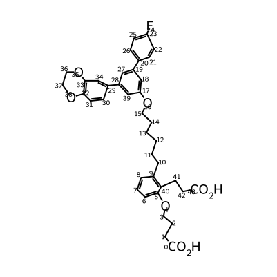 O=C(O)CCCOc1cccc(CCCCCCOc2cc(-c3ccc(F)cc3)cc(-c3ccc4c(c3)OCCO4)c2)c1CCC(=O)O